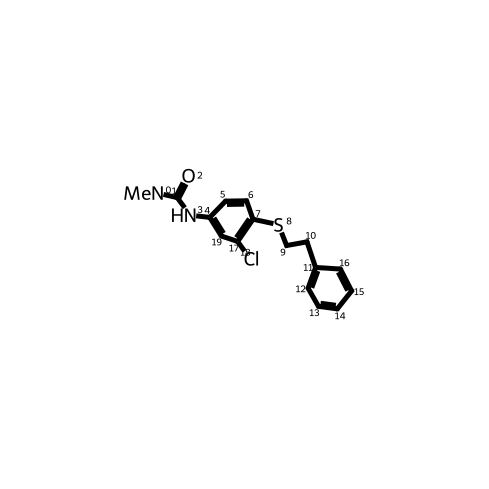 CNC(=O)Nc1ccc(SCCc2ccccc2)c(Cl)c1